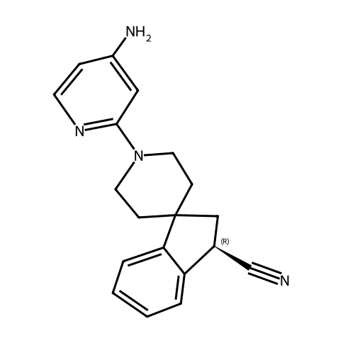 N#C[C@@H]1CC2(CCN(c3cc(N)ccn3)CC2)c2ccccc21